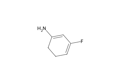 NC1=CC(F)=CCC1